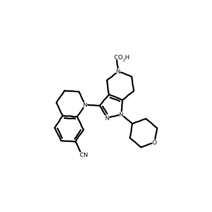 N#Cc1ccc2c(c1)N(c1nn(C3CCOCC3)c3c1CN(C(=O)O)CC3)CCC2